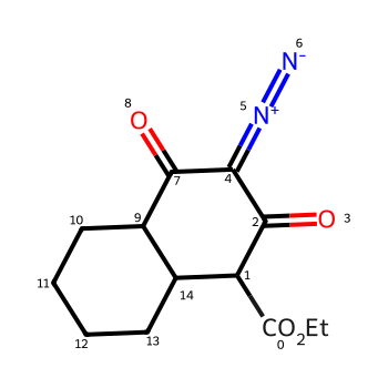 CCOC(=O)C1C(=O)C(=[N+]=[N-])C(=O)C2CCCCC21